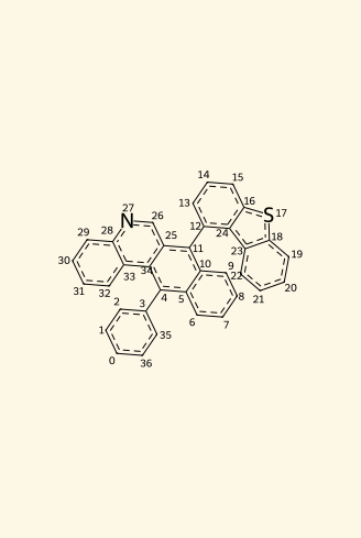 c1ccc(-c2c3ccccc3c(-c3cccc4sc5ccccc5c34)c3cnc4ccccc4c23)cc1